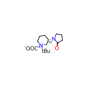 CC(C)(C)[N+]1(C(=O)[O-])CCC[C@H](N2CCCC2=O)C1